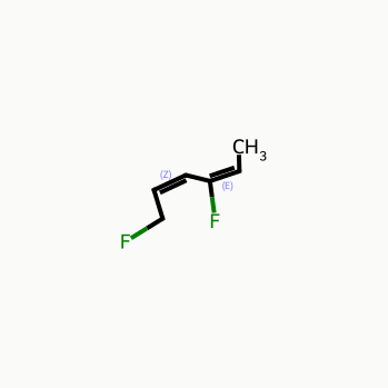 C/C=C(F)\C=C/CF